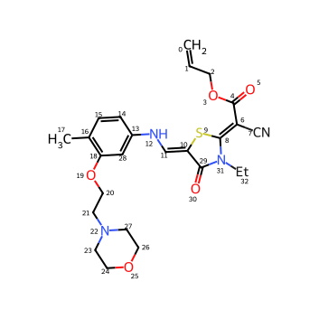 C=CCOC(=O)C(C#N)=c1sc(=CNc2ccc(C)c(OCCN3CCOCC3)c2)c(=O)n1CC